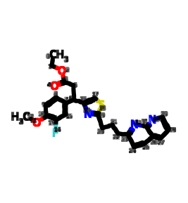 CCOC(=O)CC(c1ccc(OC)c(F)c1)c1csc(CCCc2ccc3cccnc3n2)n1